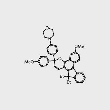 CCC1(CC)c2ccccc2-c2c1c1c(c3cc(OC)ccc23)OC(c2ccc(OC)cc2)(c2ccc(N3CCOCC3)cc2)C=C1